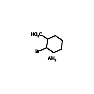 O=C(O)C1CCCCC1Br.[AlH3]